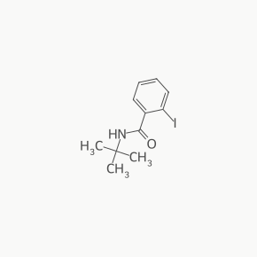 CC(C)(C)NC(=O)c1ccccc1I